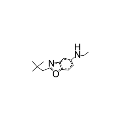 CCNc1ccc2oc(CC(C)(C)C)nc2c1